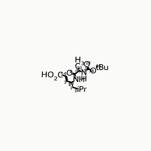 CC(C)C[C@@H](C=CC(=O)O)NC(=O)[C@H](C)NC(=O)OC(C)(C)C